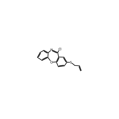 C=CCSc1ccc2c(c1)C(Cl)=Nc1ccccc1O2